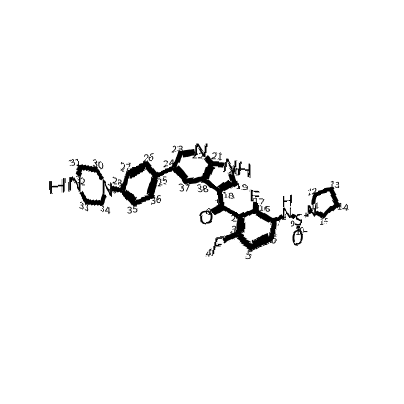 O=C(c1c(F)ccc(N[S+]([O-])N2CCCC2)c1F)c1c[nH]c2ncc(-c3ccc(N4CCNCC4)cc3)cc12